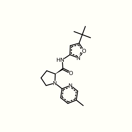 Cc1ccc(N2CCC[C@H]2C(=O)Nc2cc(C(C)(C)C)on2)nc1